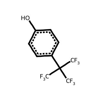 Oc1ccc(C(C(F)(F)F)(C(F)(F)F)C(F)(F)F)cc1